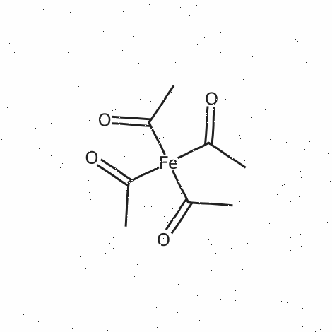 C[C](=O)[Fe]([C](C)=O)([C](C)=O)[C](C)=O